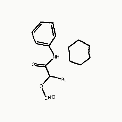 C1CCCCC1.O=COC(Br)C(=O)Nc1ccccc1